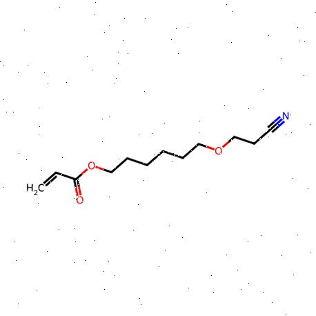 C=CC(=O)OCCCCCCOCCC#N